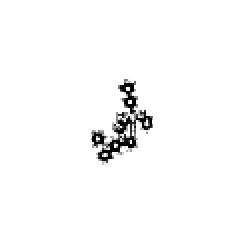 C1=CCCC(C2NC(c3ccc(-c4ccccc4)cc3)NC(c3cncc(-n4c5ccccc5c5cc6c7ccccc7n(-c7ccccc7)c6cc54)c3)N2)=C1